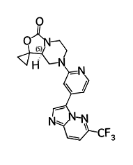 O=C1OC2(CC2)[C@@H]2CN(c3cc(-c4cnc5ccc(C(F)(F)F)nn45)ccn3)CCN12